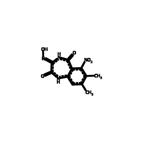 Cc1cc2[nH]c(=O)c(=NO)[nH]c(=O)c2c([N+](=O)[O-])c1C